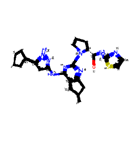 CC1Cc2nc(N3CCC[C@@H]3C(=O)Nc3nccs3)nc(Nc3cc(C4CCCC4)[nH]n3)c2C1